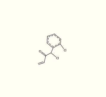 C=CC(=O)C(Cl)c1ccccc1Cl